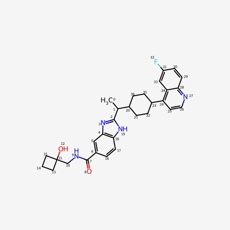 CC(c1nc2cc(C(=O)NCC3(O)CCC3)ccc2[nH]1)C1CCC(c2ccnc3ccc(F)cc23)CC1